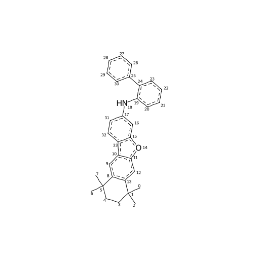 CC1(C)CCC(C)(C)c2cc3c(cc21)oc1cc(Nc2ccccc2-c2ccccc2)ccc13